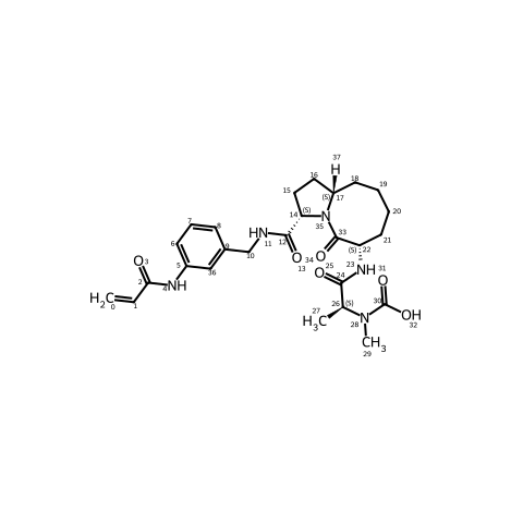 C=CC(=O)Nc1cccc(CNC(=O)[C@@H]2CC[C@@H]3CCCC[C@H](NC(=O)[C@H](C)N(C)C(=O)O)C(=O)N32)c1